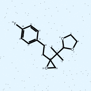 CC(C)(C1OCCO1)C1(CCc2ccc(F)cc2)CO1